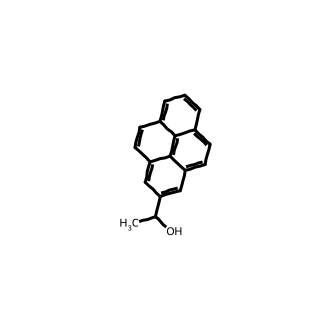 CC(O)c1cc2ccc3cccc4ccc(c1)c2c34